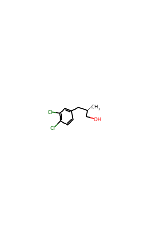 C[C@H](CO)Cc1ccc(Cl)c(Cl)c1